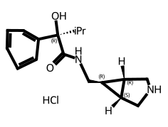 CC(C)[C@](O)(C(=O)NC[C@H]1[C@@H]2CNC[C@@H]21)c1ccccc1.Cl